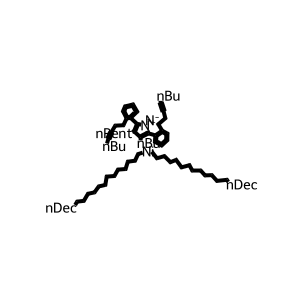 CCCCC#CCCc1ccccc1C1=C(CCCC)C(CCCCC)=C(c2ccccc2CCC#CCCCC)[N+]1=[N-].CCCCCCCCCCCCCCCCCCCCCC[CH2][Ni][CH2]CCCCCCCCCCCCCCCCCCCCCC